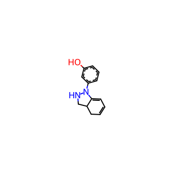 Oc1cccc(N2NCC3CC=CC=C32)c1